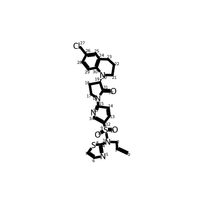 C=CCN(c1nccs1)S(=O)(=O)c1ccc(N2CC[C@H](N3CCCc4cc(Cl)ccc43)C2=O)nc1